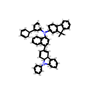 CC1(C)c2ccccc2-c2ccc(N(c3cccc(C4C=CC=CC4)c3)c3ccc(C4=CC5c6ccccc6N(c6ccccc6)C5C=C4)c4ccccc34)cc21